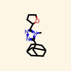 Cn1c(C2CCCO2)nnc1C12CC3CC(CC(C3)C1)C2